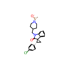 C[S+]([O-])N1CCC(CN2C(=O)[C@]3(C[C@@H]3c3ccc(Cl)cc3)c3ccccc32)CC1